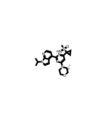 CC(C)n1ccc2c(-c3nc(N4CCOC[C@H]4C)cc(C4(S(C)(=N)=O)CC4)n3)ccnc21